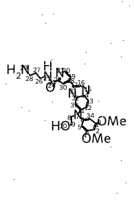 COc1cc(OC)cc(N(CCO)c2ccc3ncc(-c4ccnc(C(=O)NCCCN)c4)nc3c2)c1